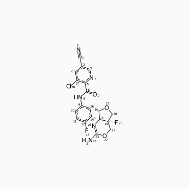 N#Cc1cnc(C(=O)Nc2ccc(F)c([C@]34COC[C@@]3(F)COC(N)=N4)c2)c(Cl)c1